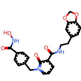 O=C(NO)c1ccc(Cn2cccc(C(=O)NCCc3ccc4c(c3)OCO4)c2=O)cc1